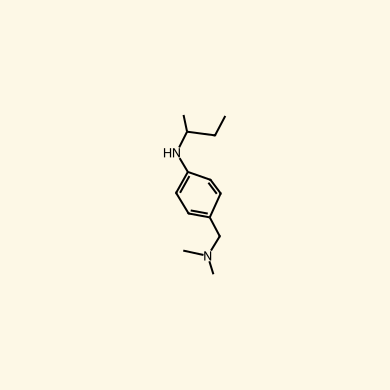 CCC(C)Nc1ccc(CN(C)C)cc1